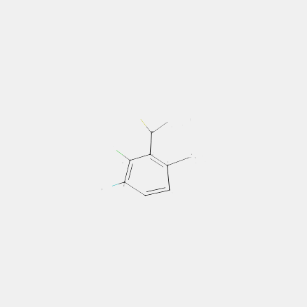 CCOC(=O)C(S)c1c([N+](=O)[O-])ccc(F)c1Cl